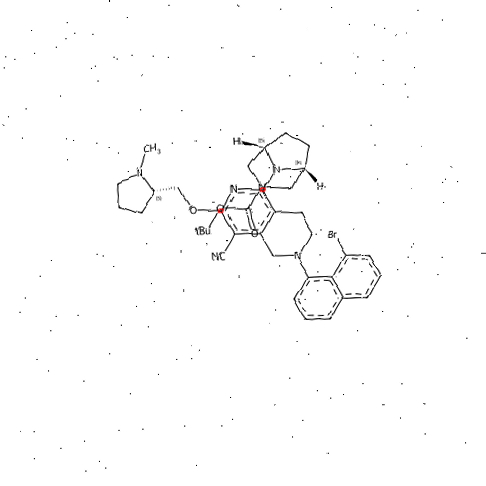 CN1CCC[C@H]1COc1nc(N2[C@@H]3CC[C@H]2CN(C(=O)OC(C)(C)C)C3)c2c(c1C#N)CN(c1cccc3cccc(Br)c13)CC2